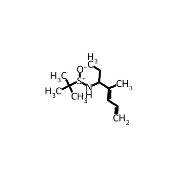 C=C/C=C(\C)C(CC)N[S+]([O-])C(C)(C)C